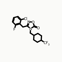 O=c1onc(Cc2c(F)cccc2Cl)n1CC1CCC(C(F)(F)F)CC1